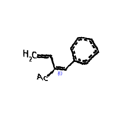 C=C/C(=C\c1ccccc1)C(C)=O